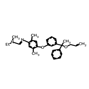 C=CCOC(C)(c1ccccc1)c1cccc(Oc2cc(C)c(N=CN(C)CC)cc2C)c1